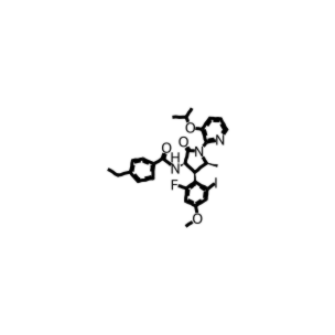 CCc1ccc(C(=O)N[C@@H]2C(=O)N(c3ncccc3OC(C)C)[C@@H](C)[C@H]2c2c(F)cc(OC)cc2I)cc1